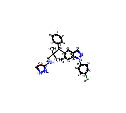 CC(C)(CNc1nncs1)C(c1ccccc1)c1ccc2c(cnn2-c2ccc(F)cc2)c1